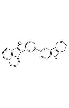 C1=Cc2c(sc3ccc(-c4ccc5oc6c(c5c4)-c4cccc5cccc-6c45)cc23)CC1